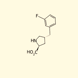 O=C(O)[C@@H]1C[C@@H](Cc2cccc(F)c2)CN1